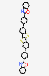 c1ccc2oc(-c3ccc(-c4ccc5c(c4)sc4c6ccc(-c7ccc(-c8nc9ccccc9o8)cc7)cc6sc54)cc3)nc2c1